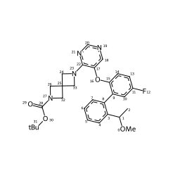 COC(C)c1ccccc1-c1cc(F)ccc1Oc1cncnc1N1CC2(CN(C(=O)OC(C)(C)C)C2)C1